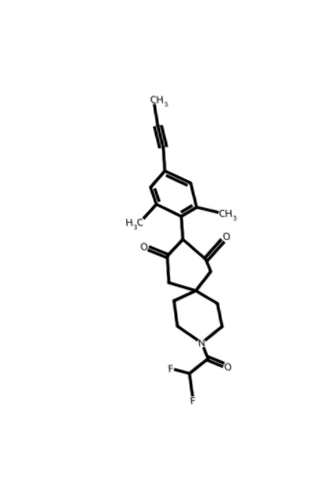 CC#Cc1cc(C)c(C2C(=O)CC3(CCN(C(=O)C(F)F)CC3)CC2=O)c(C)c1